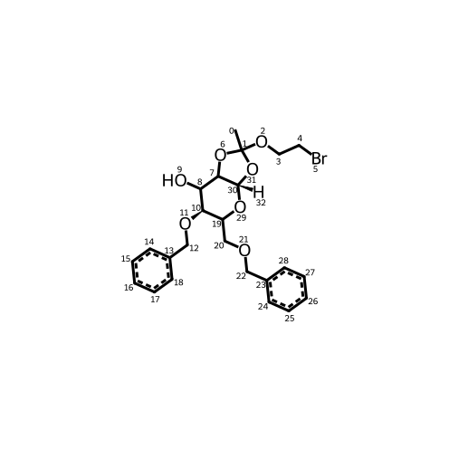 CC1(OCCBr)OC2C(O)[C@H](OCc3ccccc3)C(COCc3ccccc3)O[C@H]2O1